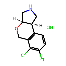 Cl.Clc1ccc2c(c1Cl)CO[C@H]1CNC[C@@H]21